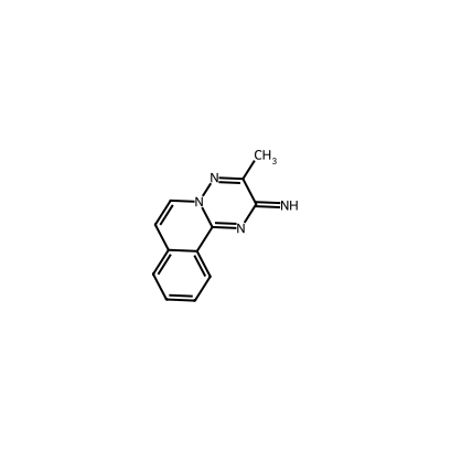 Cc1nn2ccc3ccccc3c2nc1=N